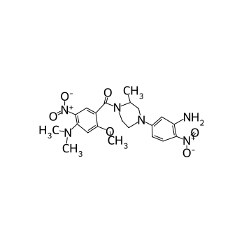 COc1cc(N(C)C)c([N+](=O)[O-])cc1C(=O)N1CCN(c2ccc([N+](=O)[O-])c(N)c2)CC1C